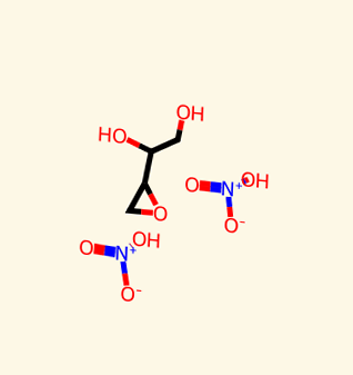 O=[N+]([O-])O.O=[N+]([O-])O.OCC(O)C1CO1